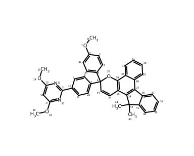 COc1ccc(C2(c3ccc(-c4nc(OC)cc(OC)n4)cc3)C=Cc3c4c(c5ccccc5c3O2)-c2ccccc2C4(C)C)cc1